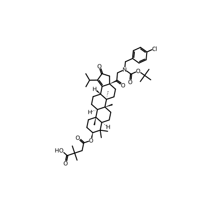 CC(C)C1=C2[C@H]3CC[C@@H]4[C@@]5(C)CC[C@H](OC(=O)CC(C)(C)C(=O)O)C(C)(C)[C@@H]5CC[C@@]4(C)[C@]3(C)CC[C@@]2(C(=O)CN(Cc2ccc(Cl)cc2)C(=O)OC(C)(C)C)CC1=O